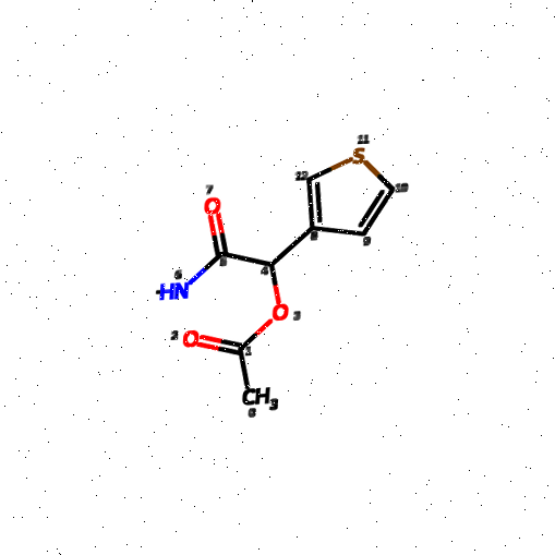 CC(=O)OC(C([NH])=O)c1ccsc1